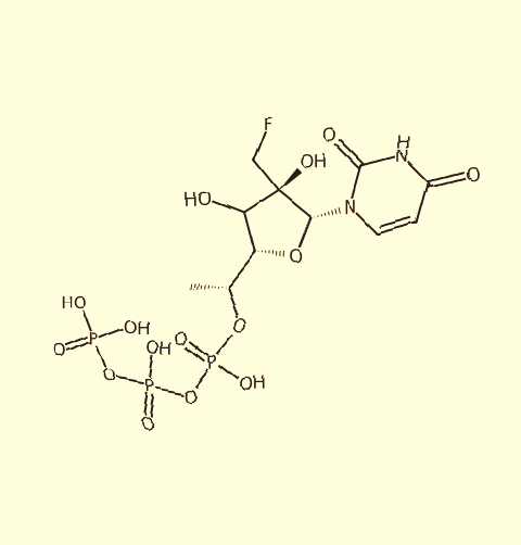 C[C@@H](OP(=O)(O)OP(=O)(O)OP(=O)(O)O)[C@H]1O[C@@H](n2ccc(=O)[nH]c2=O)[C@@](O)(CF)C1O